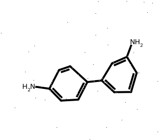 Nc1[c]ccc(-c2ccc(N)cc2)c1